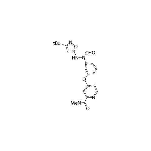 CNC(=O)c1cc(Oc2cccc(N(C=O)Nc3cc(C(C)(C)C)no3)c2)ccn1